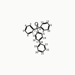 O=P(c1ccccc1)(c1ccccc1)c1ccc(-c2cc[c]cc2)cc1